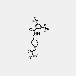 CONC(=O)CN1CCC(CNC(=O)c2cc(C(F)(F)F)cc(C(F)(F)F)c2)CC1